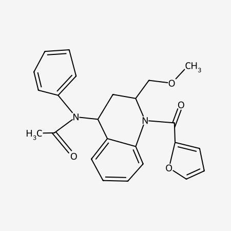 COCC1CC(N(C(C)=O)c2ccccc2)c2ccccc2N1C(=O)c1ccco1